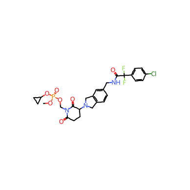 COP(=O)(OCN1C(=O)CCC(N2Cc3ccc(CNC(=O)C(F)(F)c4ccc(Cl)cc4)cc3C2)C1=O)OC1CC1